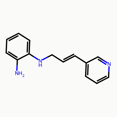 Nc1ccccc1NCC=Cc1cccnc1